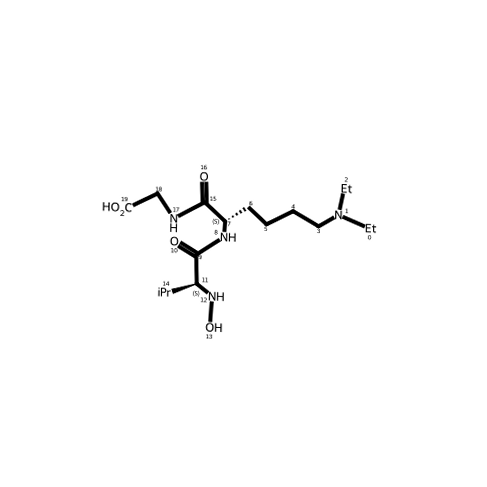 CCN(CC)CCCC[C@H](NC(=O)[C@@H](NO)C(C)C)C(=O)NCC(=O)O